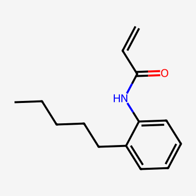 C=CC(=O)Nc1ccccc1CCCCC